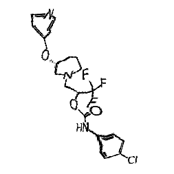 O=C(Nc1ccc(Cl)cc1)O[C@@H](CN1CCC[C@@H](Oc2ccncc2)C1)C(F)(F)F